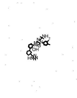 Cc1ccc(N2C(=O)/C(=N\Nc3cccc(C4CCCC(c5nnn[nH]5)C4)c3O)N=C2C(C)(C)N)cc1C